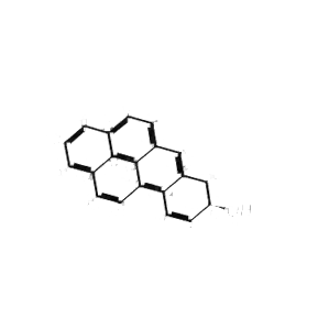 O[C@H]1C=Cc2c(cc3ccc4cccc5ccc2c3c45)C1